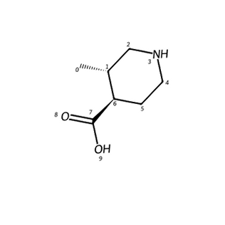 C[C@@H]1CNCC[C@H]1C(=O)O